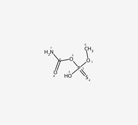 COP(O)(=S)OC(N)=O